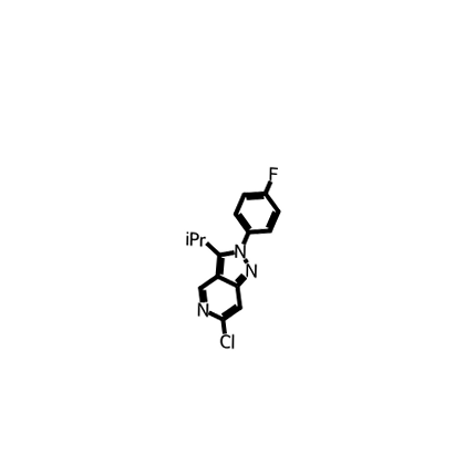 CC(C)c1c2cnc(Cl)cc2nn1-c1ccc(F)cc1